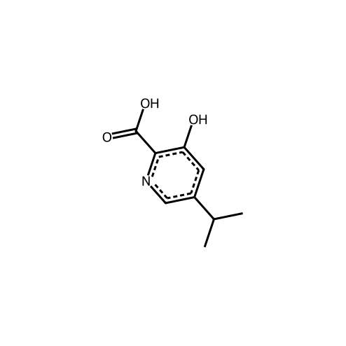 CC(C)c1cnc(C(=O)O)c(O)c1